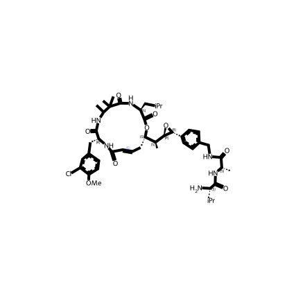 COc1ccc(C[C@H]2NC(=O)/C=C/C[C@@H]([C@H](C)[C@H]3O[C@@H]3c3ccc(CNC(=O)[C@H](C)NC(=O)[C@@H](N)C(C)C)cc3)OC(=O)[C@H](CC(C)C)NC(=O)C(C)(C)C(C)NC2=O)cc1Cl